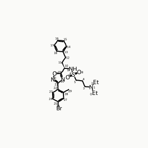 CCN(CC)CCCS(=O)(=O)N[C@H](CCc1ccccc1)c1nc(-c2ccc(Br)cc2C)no1